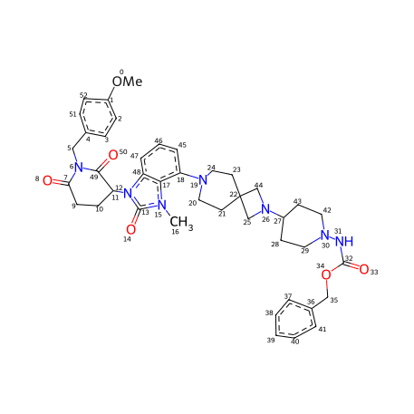 COc1ccc(CN2C(=O)CCC(n3c(=O)n(C)c4c(N5CCC6(CC5)CN(C5CCN(NC(=O)OCc7ccccc7)CC5)C6)cccc43)C2=O)cc1